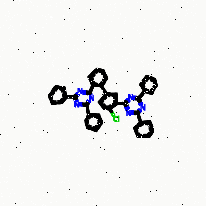 Clc1ccc(-c2ccccc2-c2nc(-c3ccccc3)nc(-c3ccccc3)n2)cc1-c1nc(-c2ccccc2)nc(-c2ccccc2)n1